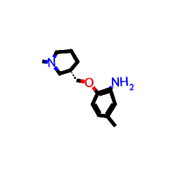 Cc1ccc(OC[C@H]2CCCN(C)C2)c(N)c1